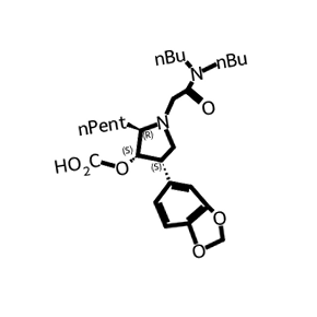 CCCCC[C@@H]1[C@@H](OC(=O)O)[C@@H](c2ccc3c(c2)OCO3)CN1CC(=O)N(CCCC)CCCC